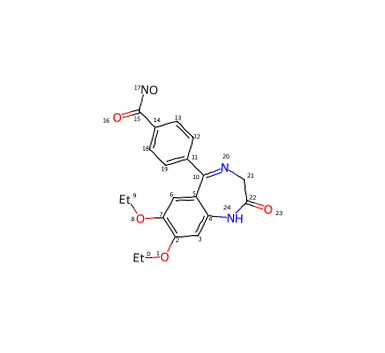 CCOc1cc2c(cc1OCC)C(c1ccc(C(=O)N=O)cc1)=NCC(=O)N2